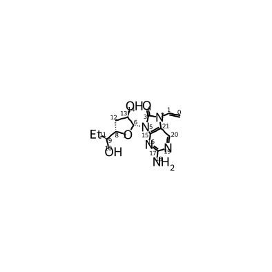 C=Cn1c(=O)n([C@@H]2O[C@H]([C@@H](O)CC)C[C@H]2O)c2nc(N)ncc21